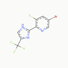 Fc1cc(Br)cnc1-c1nc(C(F)(F)F)c[nH]1